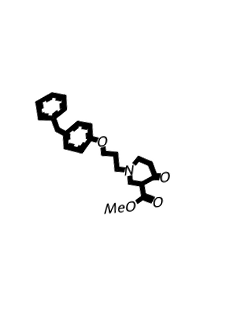 COC(=O)C1CN(CCCOc2ccc(Cc3ccccc3)cc2)CCC1=O